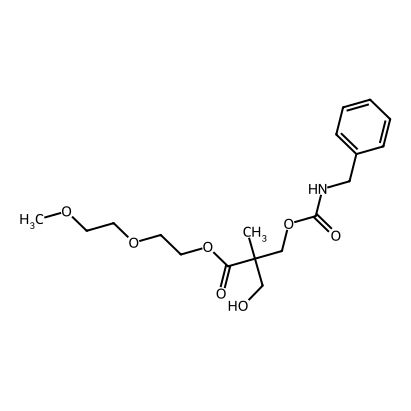 COCCOCCOC(=O)C(C)(CO)COC(=O)NCc1ccccc1